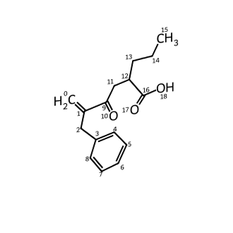 C=C(Cc1ccccc1)C(=O)CC(CCC)C(=O)O